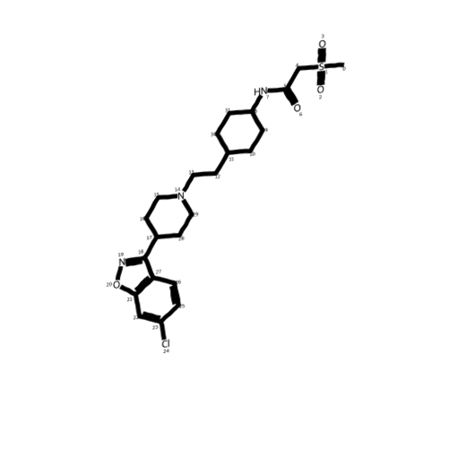 CS(=O)(=O)CC(=O)NC1CCC(CCN2CCC(c3noc4cc(Cl)ccc34)CC2)CC1